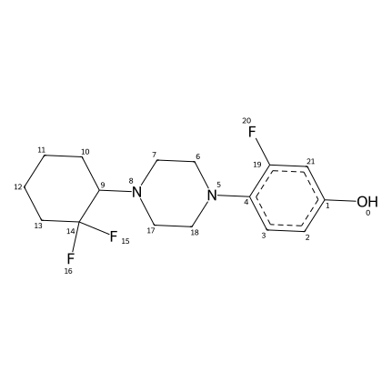 Oc1ccc(N2CCN(C3CCCCC3(F)F)CC2)c(F)c1